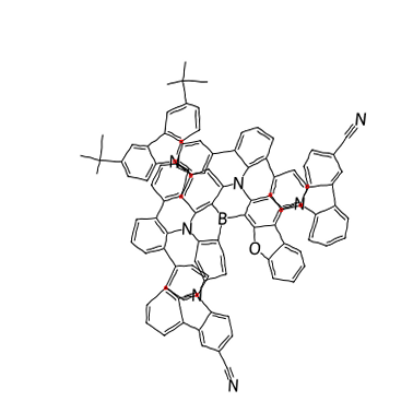 CC(C)(C)c1ccc2c(c1)c1cc(C(C)(C)C)ccc1n2-c1cc2c3c(c1)N(c1c(-c4ccccc4)cccc1-c1ccccc1)c1cc(-n4c5ccccc5c5cc(C#N)ccc54)c4c(oc5ccccc54)c1B3c1ccc(-n3c4ccccc4c4cc(C#N)ccc43)cc1N2c1c(-c2ccccc2)cccc1-c1ccccc1